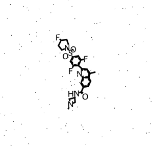 Cc1cc(-c2c(F)cc(S(=O)(=O)N3CCC(F)CC3)cc2F)nc2cc(C(=O)NC3CN(C)C3)ccc12